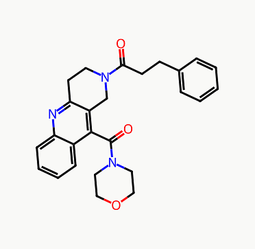 O=C(CCc1ccccc1)N1CCc2nc3ccccc3c(C(=O)N3CCOCC3)c2C1